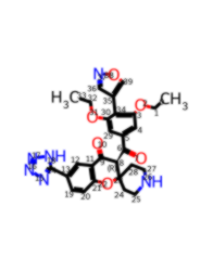 CCOc1cc(C(=O)[C@@H]2C(=O)c3cc(-c4nnn[nH]4)ccc3OC23CCNCC3)cc(OCC)c1-c1cnoc1